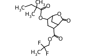 CCC(C)(C)C(=O)OC1CC(C(=O)OCC(C)(F)F)C2CC1OC2=O